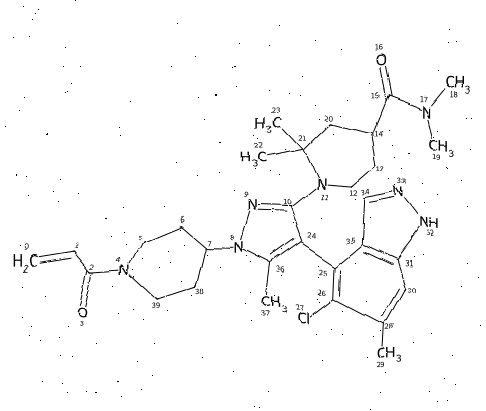 C=CC(=O)N1CCC(n2nc(N3CCC(C(=O)N(C)C)CC3(C)C)c(-c3c(Cl)c(C)cc4[nH]ncc34)c2C)CC1